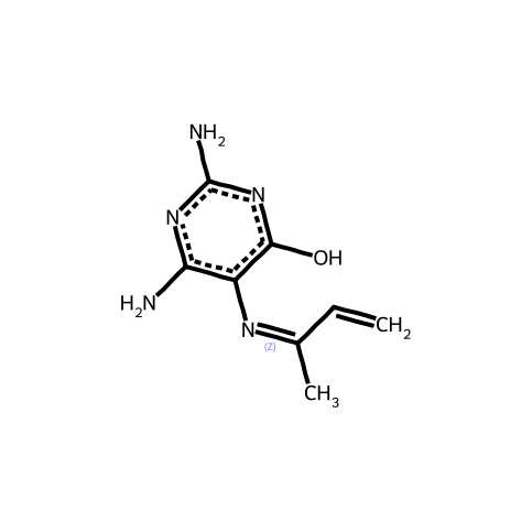 C=C/C(C)=N\c1c(N)nc(N)nc1O